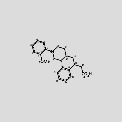 COc1ccccc1N1CCN(CC(CC(=O)O)c2ccccc2)CC1